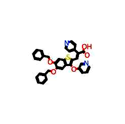 O=C(O)/C(=C/c1sc2cc(OCc3ccccc3)c(OCc3ccccc3)cc2c1Oc1cccnc1)c1ccncc1